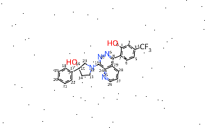 Oc1cc(C(F)(F)F)ccc1-c1nnc(N2CC[C@@](O)(c3ccccc3)C2)c2ncccc12